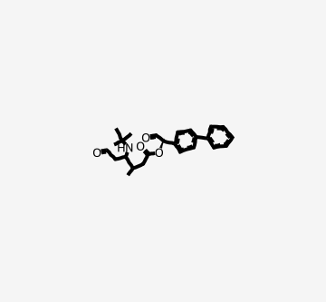 CC(CC(=O)O[C@@H](C=O)c1ccc(-c2ccccc2)cc1)C(CC=O)NC(C)(C)C